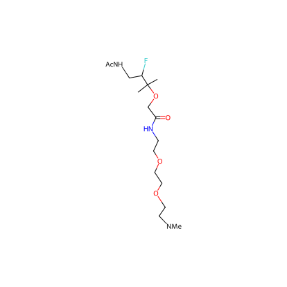 CNCCOCCOCCNC(=O)COC(C)(C)C(F)CNC(C)=O